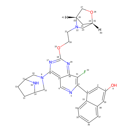 Oc1cc(-c2ncc3c(N4CC5CCC(C4)N5)nc(OCCN4C[C@@H]5C[C@H]4CO5)nc3c2F)c2ccccc2c1